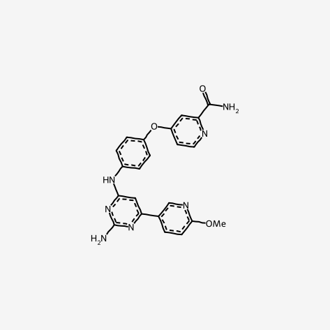 COc1ccc(-c2cc(Nc3ccc(Oc4ccnc(C(N)=O)c4)cc3)nc(N)n2)cn1